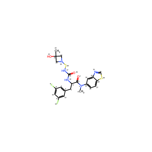 CN(C(=O)C(Cc1cc(F)cc(F)c1)NC(=O)NSN1CC(C)(O)C1)c1ccc2scnc2c1